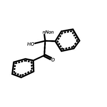 CCCCCCCCCC(O)(C(=O)c1ccccc1)c1ccccc1